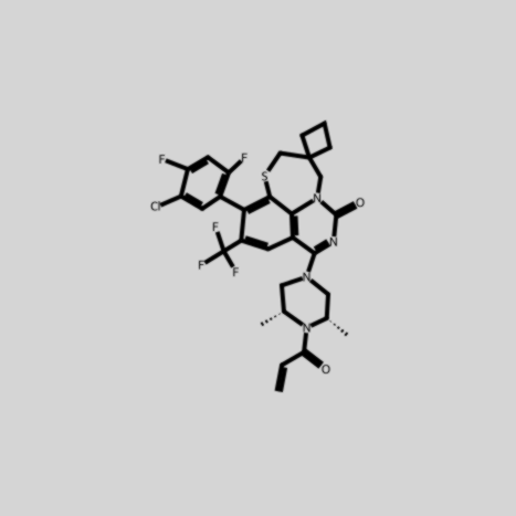 C=CC(=O)N1[C@H](C)CN(c2nc(=O)n3c4c(c(-c5cc(Cl)c(F)cc5F)c(C(F)(F)F)cc24)SCC2(CCC2)C3)C[C@@H]1C